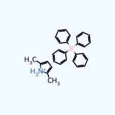 CC1=CC=C(C)[NH2+]1.c1ccc([B-](c2ccccc2)(c2ccccc2)c2ccccc2)cc1